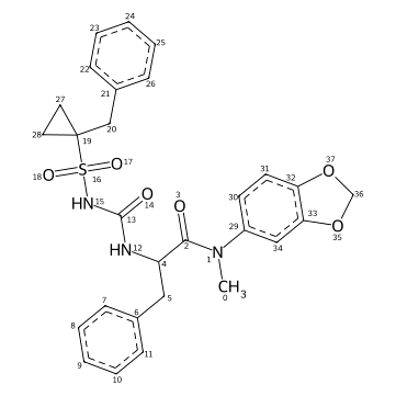 CN(C(=O)C(Cc1ccccc1)NC(=O)NS(=O)(=O)C1(Cc2ccccc2)CC1)c1ccc2c(c1)OCO2